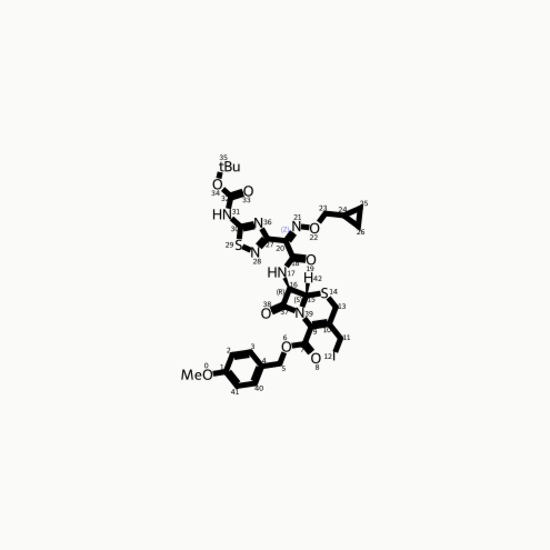 COc1ccc(COC(=O)C2=C(CI)CS[C@H]3[C@H](NC(=O)/C(=N\OCC4CC4)c4nsc(NC(=O)OC(C)(C)C)n4)C(=O)N23)cc1